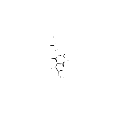 Cc1c(C=O)sc2[nH]c(=O)n(C(C)(C)C(=O)OC(C)(C)C)c(=O)c12